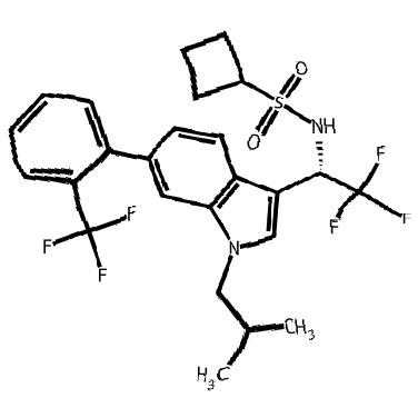 CC(C)Cn1cc([C@H](NS(=O)(=O)C2CCC2)C(F)(F)F)c2ccc(-c3ccccc3C(F)(F)F)cc21